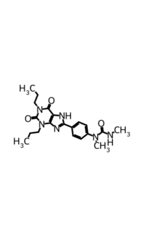 CCCn1c(=O)c2[nH]c(-c3ccc(N(C)C(=O)NC)cc3)nc2n(CCC)c1=O